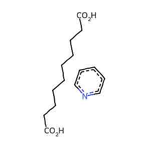 O=C(O)CCCCCCCCC(=O)O.c1ccncc1